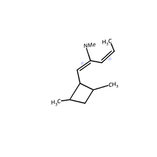 C/C=C\C(=C/C1C(C)CC1C)NC